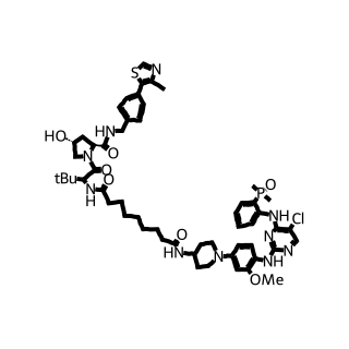 COc1cc(N2CCC(NC(=O)CCCCCCCC(=O)NC(C(=O)N3C[C@H](O)C[C@H]3C(=O)NCc3ccc(-c4scnc4C)cc3)C(C)(C)C)CC2)ccc1Nc1ncc(Cl)c(Nc2ccccc2P(C)(C)=O)n1